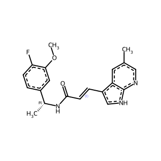 COc1cc([C@@H](C)NC(=O)/C=C/c2c[nH]c3ncc(C)cc23)ccc1F